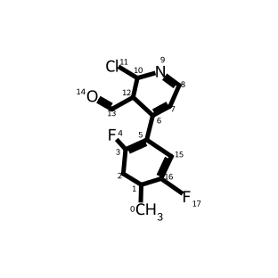 CC1CC(F)=C(C2=CC=NC(Cl)C2C=O)C=C1F